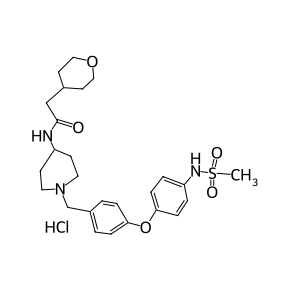 CS(=O)(=O)Nc1ccc(Oc2ccc(CN3CCC(NC(=O)CC4CCOCC4)CC3)cc2)cc1.Cl